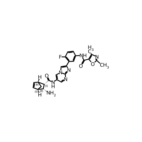 Cc1nc(C)c(C(=O)Nc2ccc(F)c(-c3cn4cc(NC(=O)[C@@H]5[C@H](N)[C@@H]6C=C[C@H]5C6)cnc4n3)c2)o1